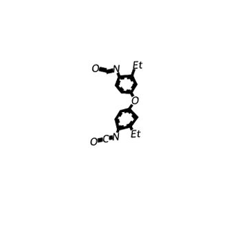 CCc1cc(Oc2ccc(N=C=O)c(CC)c2)ccc1N=C=O